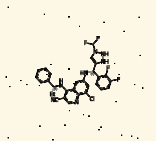 CC[C@@H](Nc1c(C#N)cnc2c(Cl)cc(N[C@H](C3=CN(C(F)F)NN3)c3cccc(F)c3F)cc12)c1ccccc1